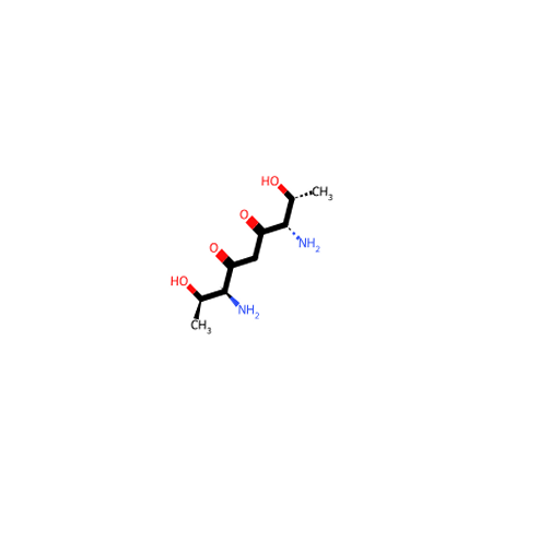 C[C@@H](O)[C@H](N)C(=O)CC(=O)[C@@H](N)[C@@H](C)O